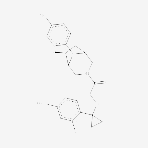 COc1ccc(C2(OCC(=O)N3CC4C[C@H](C)C(C3)N4c3ccc(C#N)cn3)CC2)c(F)c1